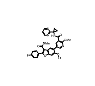 CCOc1cc2oc(-c3ccc(F)cc3)c(C(=O)NC)c2cc1-c1cnc(OC)c(C(=O)NC2(c3ncccn3)CC2)c1